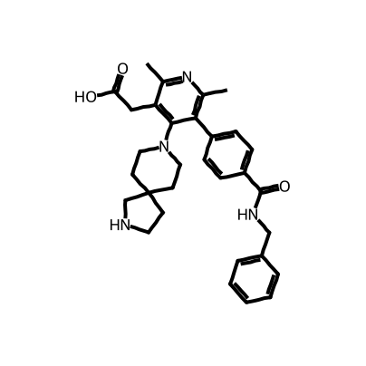 Cc1nc(C)c(-c2ccc(C(=O)NCc3ccccc3)cc2)c(N2CCC3(CCNC3)CC2)c1CC(=O)O